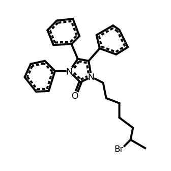 CC(Br)CCCCCn1c(-c2ccccc2)c(-c2ccccc2)n(-c2ccccc2)c1=O